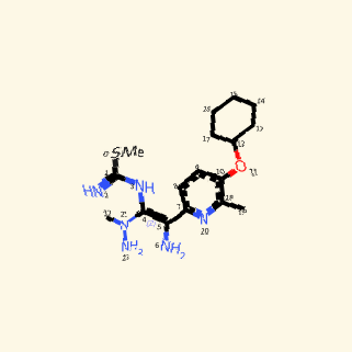 CSC(=N)N/C(=C(/N)c1ccc(OC2CCCCC2)c(C)n1)N(C)N